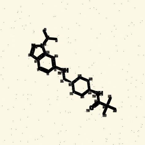 CC(C)n1ncc2ccc(NC[C@H]3CC[C@H](NC(=O)C(C)(C)C)CC3)cc21